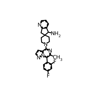 Cc1nc(N2CCC3(CC2)Cc2ncccc2C3N)c2ccnn2c1-c1ccc(F)cc1F